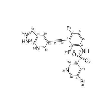 O=S(=O)(Nc1ccc(F)c(C#Cc2cnc3[nH]ncc3c2)c1F)c1cncc(Br)c1